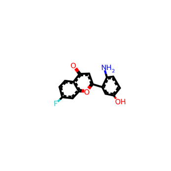 Nc1ccc(O)cc1-c1cc(=O)c2ccc(F)cc2o1